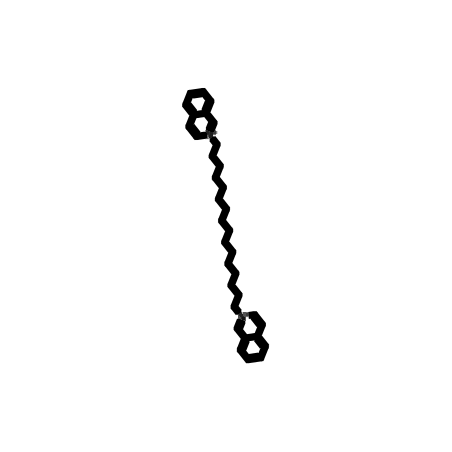 c1ccc2c[n+](CCCCCCCCCCCCCCCC[n+]3ccc4ccccc4c3)ccc2c1